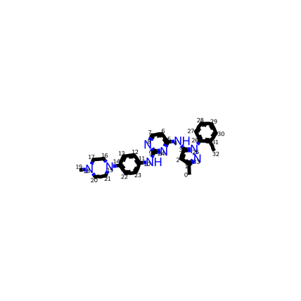 Cc1cc(Nc2ccnc(Nc3ccc(N4CCN(C)CC4)cc3)n2)n(-c2ccccc2C)n1